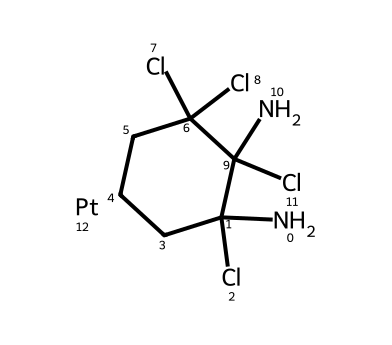 NC1(Cl)CCCC(Cl)(Cl)C1(N)Cl.[Pt]